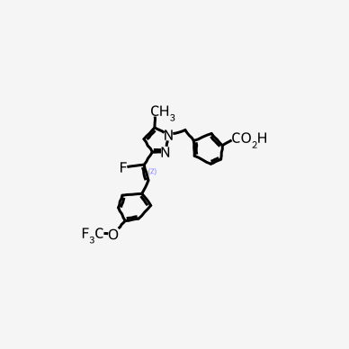 Cc1cc(/C(F)=C/c2ccc(OC(F)(F)F)cc2)nn1Cc1cccc(C(=O)O)c1